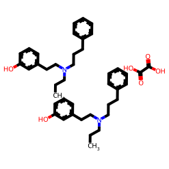 CCCN(CCCc1ccccc1)CCc1cccc(O)c1.CCCN(CCCc1ccccc1)CCc1cccc(O)c1.O=C(O)C(=O)O